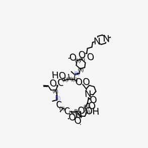 C=CC[C@@H]1/C=C(\C)C[C@H](C)C[C@H](OC)[C@H]2O[C@@](O)(C(=O)C(=O)N3CCCCC3C(=O)O[C@H](/C(C)=C/[C@@H]3CC[C@@H](OC(=O)CCCN4CCN(C)CC4)[C@H](OC)C3)[C@H](C)[C@@H](O)CC1=O)[C@H](C)C[C@@H]2OC